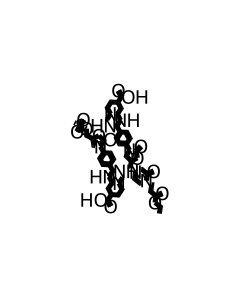 CCOC(=O)CCN1CCN(CC2CN(c3ccc(C(=N)NC4CC(C(=O)O)CCN4C)cc3)C(=O)O2)CC1=O.CN1CCC(C(=O)O)CC1NC(=N)c1ccc(N2CC(COS(C)(=O)=O)OC2=O)cc1